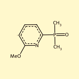 COc1[c]ccc(P(C)(C)=O)n1